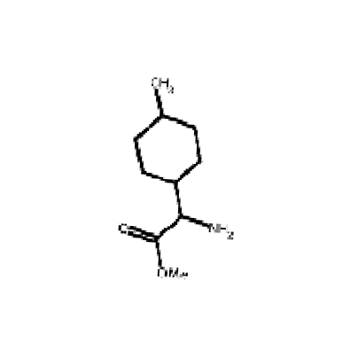 COC(=O)C(N)C1CCC(C)CC1